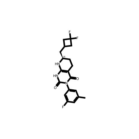 Cc1cc(F)cc(-n2c(=O)[nH]c3c(c2=O)CC[C@H](CC2CC(F)(F)C2)N3)c1